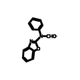 O=[C]N(c1ccccc1)c1nc2ccccc2o1